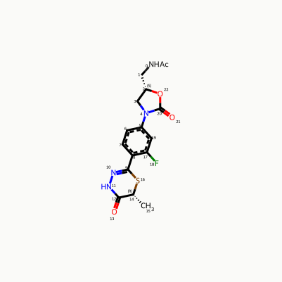 CC(=O)NC[C@H]1CN(c2ccc(C3=NNC(=O)[C@@H](C)S3)c(F)c2)C(=O)O1